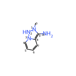 CN1NN2C=CC=CC2=C1N